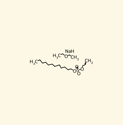 C=CCOS(=O)(=O)OCCCCCCCCCCCC.CCOCC.[NaH]